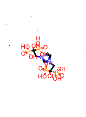 O=P(O)(O)C(O)(Cn1cc[n+](CC(O)(P(=O)(O)O)P(=O)(O)O)c1)P(=O)(O)O